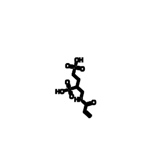 C=CC(=O)NCC(CCS(=O)(=O)O)S(=O)(=O)O